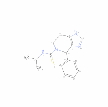 CC(C)NC(=S)N1CCc2[nH]cnc2C1c1ccccc1